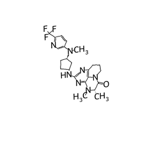 C[C@H]1C(=O)N2CCCc3nc(N[C@@H]4CC[C@@H](N(C)c5ccc(C(F)(F)F)nc5)C4)nc(c32)N1C